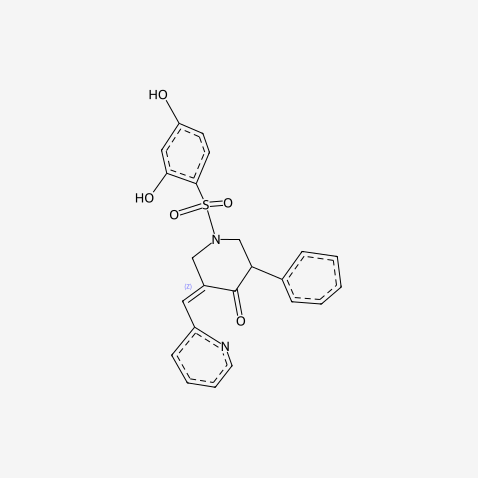 O=C1/C(=C\c2ccccn2)CN(S(=O)(=O)c2ccc(O)cc2O)CC1c1ccccc1